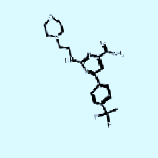 NC(=O)c1cc(-c2ccc(C(F)(F)F)cc2)nc(NCCN2CCOCC2)n1